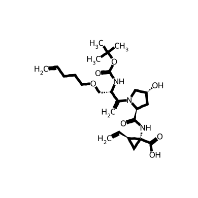 C=CCCCOC[C@H](NC(=O)OC(C)(C)C)C(=C)N1C[C@H](O)C[C@H]1C(=O)N[C@]1(C(=O)O)C[C@H]1C=C